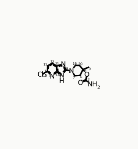 CC1(OC(N)=O)CCN(c2nc3ccc(Cl)nc3[nH]2)CC1